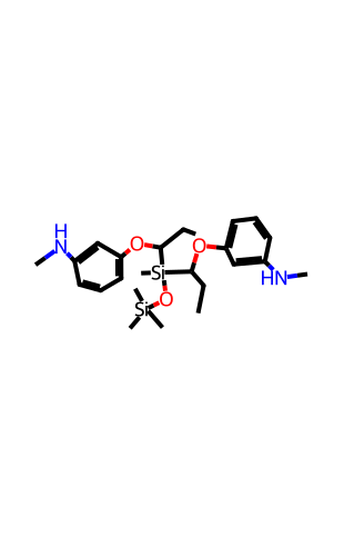 CCC(Oc1cccc(NC)c1)[Si](C)(O[Si](C)(C)C)C(CC)Oc1cccc(NC)c1